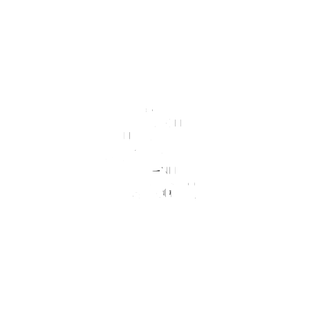 CC(C)(C)OC(=O)N[C@@]1(C(=O)O)CC(=O)[C@H]2[C@H](C(=O)O)[C@H]21